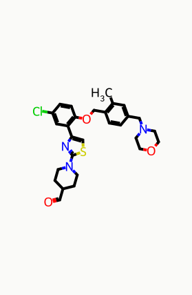 Cc1cc(CN2CCOCC2)ccc1COc1ccc(Cl)cc1-c1csc(N2CCC(C=O)CC2)n1